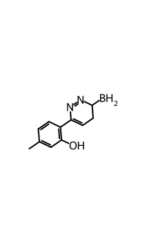 BC1CC=C(c2ccc(C)cc2O)N=N1